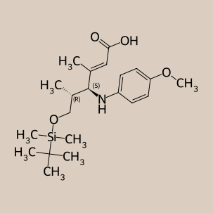 COc1ccc(N[C@H](C(C)=CC(=O)O)[C@@H](C)CO[Si](C)(C)C(C)(C)C)cc1